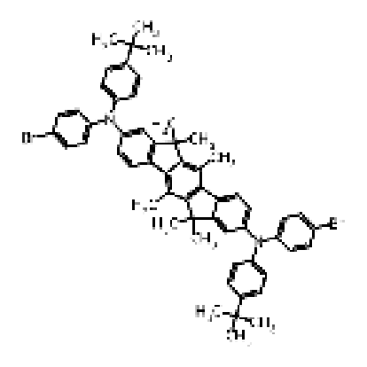 Cc1c2c(c(C)c3c1C(C)(C)c1cc(N(c4ccc(Br)cc4)c4ccc(C(C)(C)C)cc4)ccc1-3)C(C)(C)c1cc(N(c3ccc(Br)cc3)c3ccc(C(C)(C)C)cc3)ccc1-2